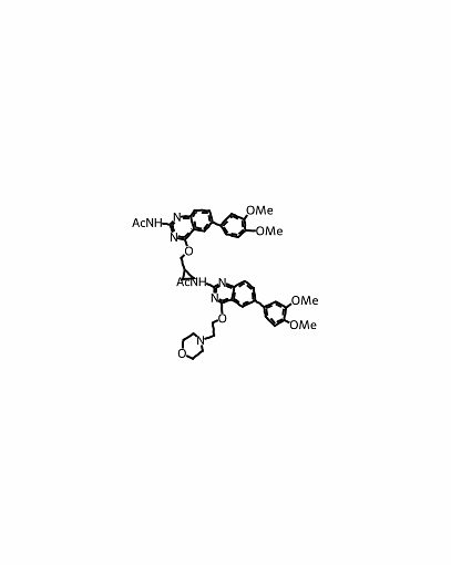 COc1ccc(-c2ccc3nc(NC(C)=O)nc(OCC4CC4)c3c2)cc1OC.COc1ccc(-c2ccc3nc(NC(C)=O)nc(OCCN4CCOCC4)c3c2)cc1OC